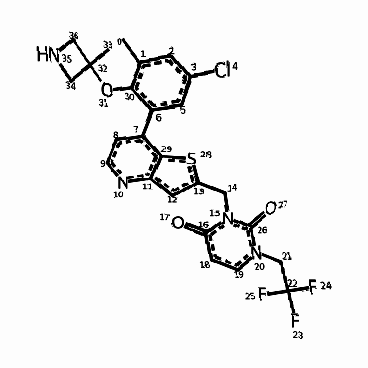 Cc1cc(Cl)cc(-c2ccnc3cc(Cn4c(=O)ccn(CC(F)(F)F)c4=O)sc23)c1OC1(C)CNC1